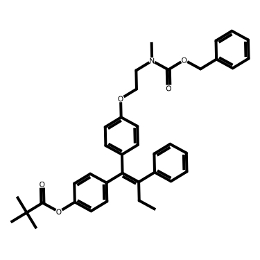 CC/C(=C(/c1ccc(OCCN(C)C(=O)OCc2ccccc2)cc1)c1ccc(OC(=O)C(C)(C)C)cc1)c1ccccc1